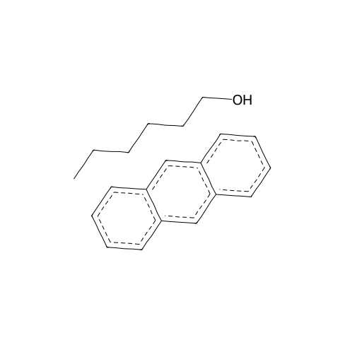 CCCCCCO.c1ccc2cc3ccccc3cc2c1